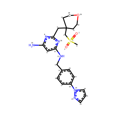 CS(=O)(=O)CC1(Cc2nc(N)cc(NCc3ccc(-n4cccn4)cc3)n2)CCOCC1